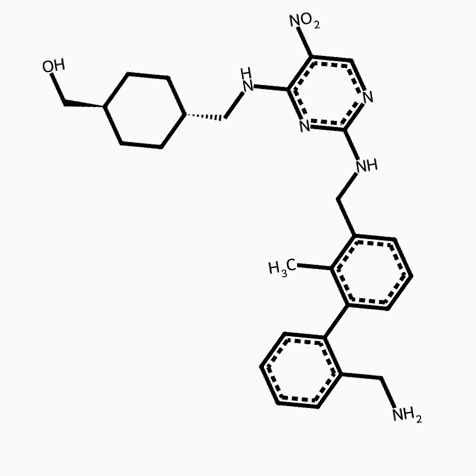 Cc1c(CNc2ncc([N+](=O)[O-])c(NC[C@H]3CC[C@H](CO)CC3)n2)cccc1-c1ccccc1CN